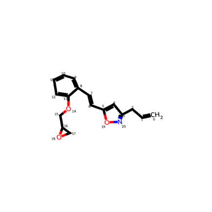 C=CCc1cc(C=Cc2ccccc2OCC2CO2)on1